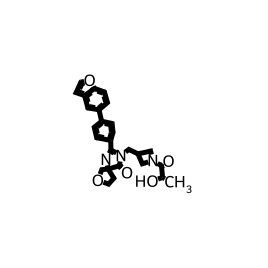 CC(O)C(=O)N1CC(CN2C(=O)C3(CCOC3)N=C2c2ccc(-c3ccc4occc4c3)cc2)C1